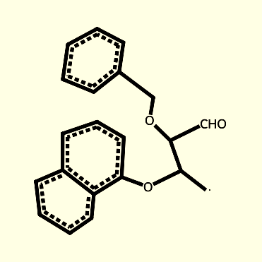 [CH2]C(Oc1cccc2ccccc12)C(C=O)OCc1ccccc1